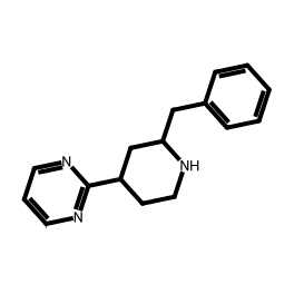 [c]1ccnc(C2CCNC(Cc3ccccc3)C2)n1